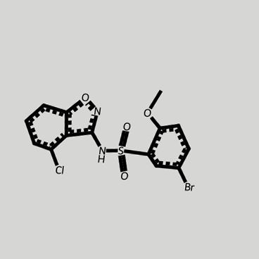 COc1ccc(Br)cc1S(=O)(=O)Nc1noc2cccc(Cl)c12